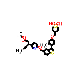 CC#CC(CC(=O)OCC)c1ccc(OCc2ccc3scc(-c4ccc(OCC5CCS(O)(O)CC5)cc4C)c3c2)nc1